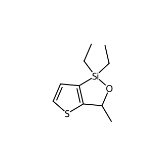 CC[Si]1(CC)OC(C)c2sccc21